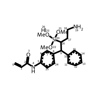 C=CC(=O)Nc1ccc(C(c2ccccc2)C(CCN)[Si](OC)(OC)OC)cc1.I